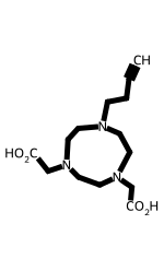 C#CCCN1CCN(CC(=O)O)CCN(CC(=O)O)CC1